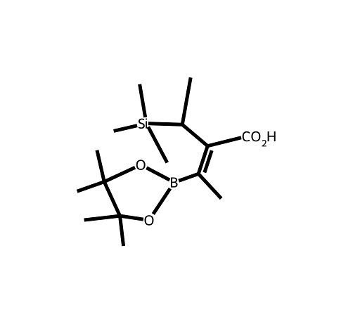 CC(B1OC(C)(C)C(C)(C)O1)=C(C(=O)O)C(C)[Si](C)(C)C